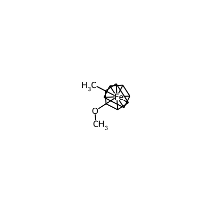 CO[C]12[CH]3[CH]4[CH]5[C]1(C)[Fe]45321678[CH]2[CH]1[CH]6[CH]7[CH]28